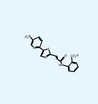 O=C(/C=C/c1ncc(-c2ccc([N+](=O)[O-])cn2)s1)Nc1ccccc1C(=O)O